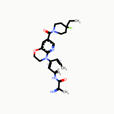 C=C(/C=C(\C=C/C)N1CCOc2cc(C(=O)N3CCC(F)(CC)CC3)cnc21)NC(=O)C(C)=N